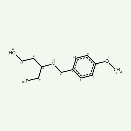 COc1ccc(CNC(CF)CCO)cc1